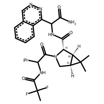 CC(C)C(NC(=O)C(C)(F)F)C(=O)N1C[C@H]2[C@@H]([C@H]1C(=O)NC(C(N)=O)c1nncc3ccccc13)C2(C)C